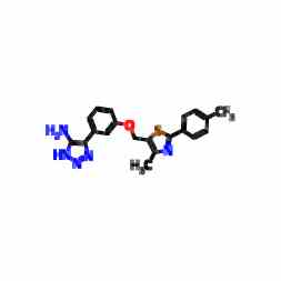 Cc1nc(-c2ccc(C(F)(F)F)cc2)sc1COc1cccc(-c2nn[nH]c2N)c1